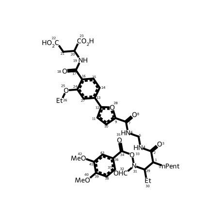 CCCCCC(C(=O)NCNC(=O)c1ccc(-c2ccc(C(=O)NC(CC(=O)O)C(=O)O)c(OCC)c2)o1)C(CC)N(C=O)OC(=O)c1ccc(OC)c(OC)c1